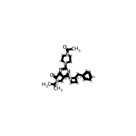 CC(=O)N1CCN(c2nc3c(c(N4CCC4Cc4ccccc4)n2)CN(C(C)C)C3=O)CC1